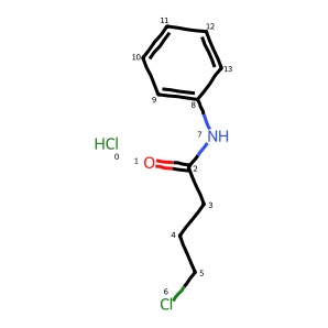 Cl.O=C(CCCCl)Nc1ccccc1